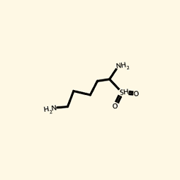 NCCCCC(N)[SH](=O)=O